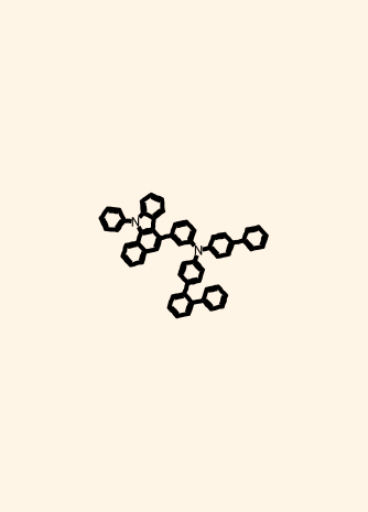 c1ccc(-c2ccc(N(c3ccc(-c4ccccc4-c4ccccc4)cc3)c3cccc(-c4cc5ccccc5c5c4c4ccccc4n5-c4ccccc4)c3)cc2)cc1